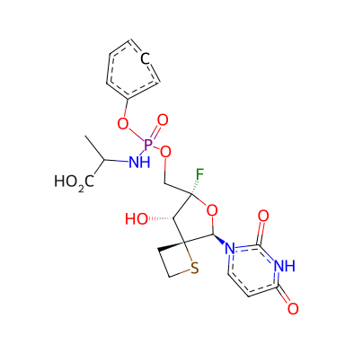 CC(NP(=O)(OC[C@@]1(F)O[C@@H](n2ccc(=O)[nH]c2=O)[C@@]2(CCS2)[C@@H]1O)Oc1ccccc1)C(=O)O